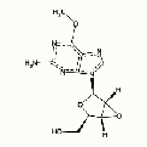 COc1nc(N)nc2c1ncn2[C@@H]1O[C@H](CO)[C@H]2O[C@H]21